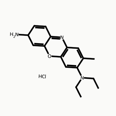 CCN(CC)c1cc2c(cc1C)N=C1C=CC(N)C=C1O2.Cl